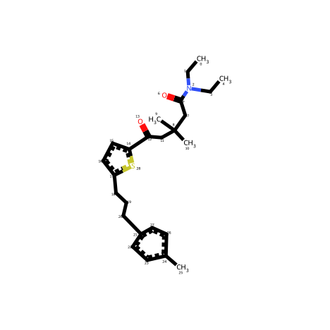 CCN(CC)C(=O)CC(C)(C)CC(=O)c1ccc(CCCc2ccc(C)cc2)s1